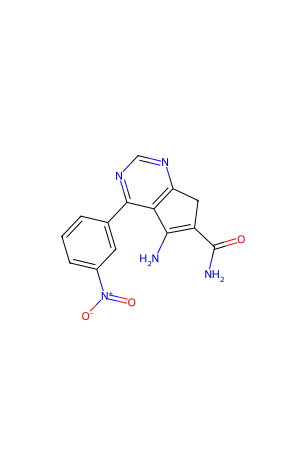 NC(=O)C1=C(N)c2c(ncnc2-c2cccc([N+](=O)[O-])c2)C1